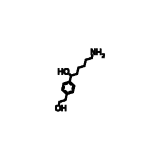 NCCCCCC(O)c1ccc(CCO)cc1